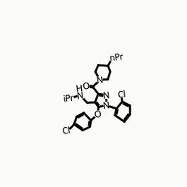 CCCC1CCN(C(=O)c2nn(-c3ccccc3Cl)c(Oc3ccc(Cl)cc3)c2CNC(C)C)CC1